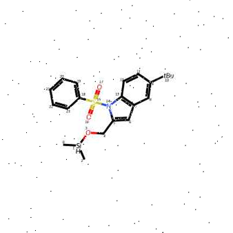 C[SiH](C)OCc1cc2cc(C(C)(C)C)ccc2n1S(=O)(=O)c1ccccc1